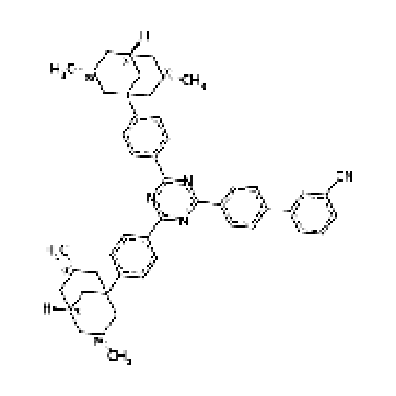 C[C@@H]1C[C@@H]2C[C@H](C)CC(c3ccc(-c4nc(-c5ccc(-c6cccc(C#N)c6)cc5)nc(-c5ccc(C67C[C@H](C)C[C@H](C[C@H](C)C6)C7)cc5)n4)cc3)(C1)C2